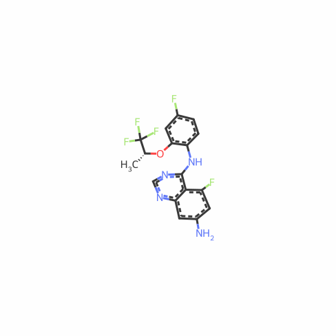 C[C@@H](Oc1cc(F)ccc1Nc1ncnc2cc(N)cc(F)c12)C(F)(F)F